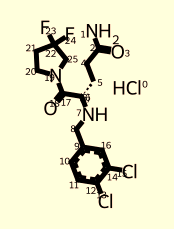 Cl.NC(=O)CC[C@H](NCc1ccc(Cl)c(Cl)c1)C(=O)N1CCC(F)(F)C1